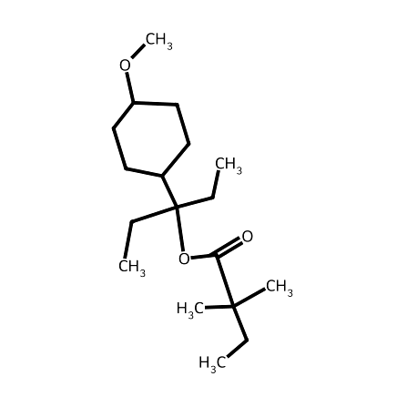 CCC(C)(C)C(=O)OC(CC)(CC)C1CCC(OC)CC1